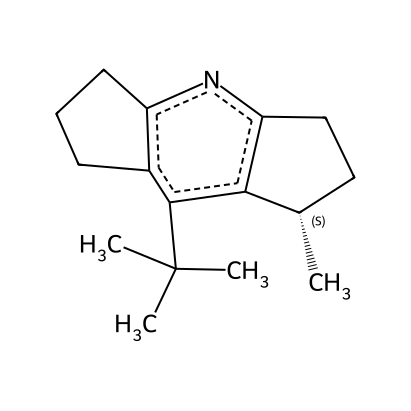 C[C@H]1CCc2nc3c(c(C(C)(C)C)c21)CCC3